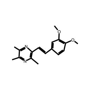 COc1ccc(C=Cc2nc(C)c(C)nc2C)cc1OC